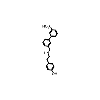 O=C(O)c1cccc(-c2cccc(CNCCc3ccc(O)cc3)c2)c1